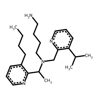 CCCCc1cccnc1C(C)N(CCCCN)Cc1ncccc1C(C)C